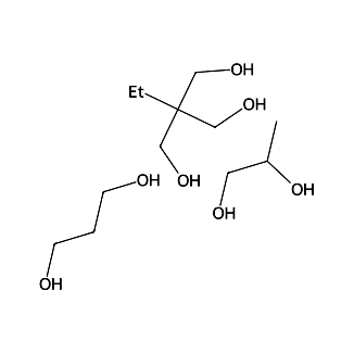 CC(O)CO.CCC(CO)(CO)CO.OCCCO